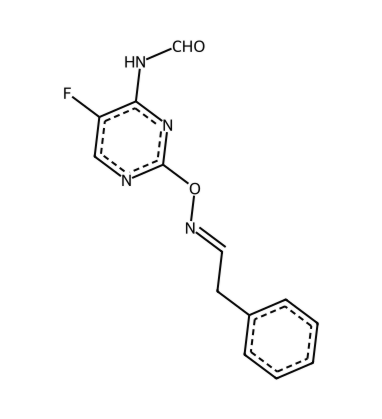 O=CNc1nc(ON=CCc2ccccc2)ncc1F